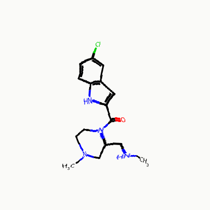 CNCC1CN(C)CCN1C(=O)c1cc2cc(Cl)ccc2[nH]1